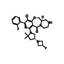 CC1(C)C[C@@H](N2CC(F)C2)CN1c1nc(-c2ccccc2F)c(Cl)c2c1C(=O)N1CCNC[C@@H]1CO2